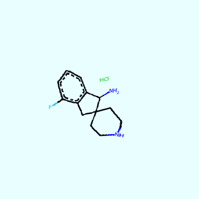 Cl.NC1c2cccc(F)c2CC12CCNCC2